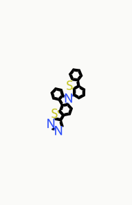 c1ccc2c(c1)sc1c(-n3c4ccccc4c4c5sc6ncncc6c5ccc43)cccc12